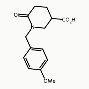 COc1ccc(CN2CC(C(=O)O)CCC2=O)cc1